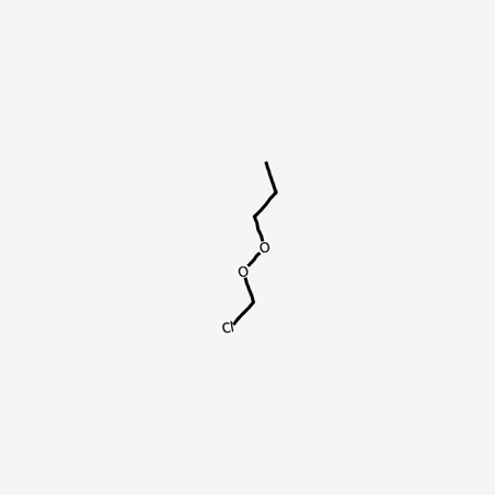 CCCOOCCl